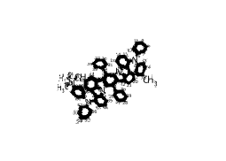 Cc1ccc(N(c2ccccc2)c2cccc3c2c2cccc4c5c(-c6ccccc6)c6c(c(-c7ccccc7)c5n3c24)c2cccc3c4c(N(c5ccccc5)c5ccc([Si](C)(C)C)cc5)cccc4n6c32)cc1